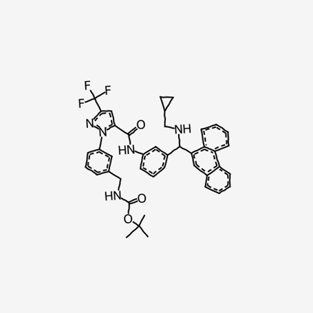 CC(C)(C)OC(=O)NCc1cccc(-n2nc(C(F)(F)F)cc2C(=O)Nc2cccc(C(NCC3CC3)c3cc4ccccc4c4ccccc34)c2)c1